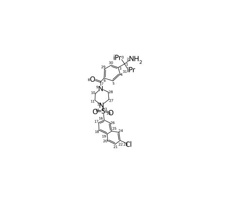 CC(C)C(N)(c1ccc(C(=O)N2CCN(S(=O)(=O)c3ccc4ccc(Cl)cc4c3)CC2)cc1)C(C)C